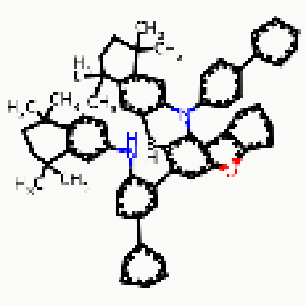 CC1(C)CCC(C)(C)c2cc(Nc3ccc(-c4ccccc4)cc3-c3cc4oc5ccccc5c4c4c3Bc3cc5c(cc3N4c3ccc(-c4ccccc4)cc3)C(C)(C)CCC5(C)C)ccc21